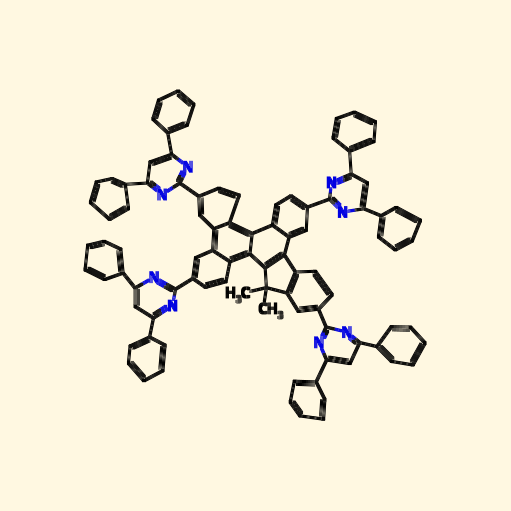 CC1(C)c2cc(-c3nc(-c4ccccc4)cc(-c4ccccc4)n3)ccc2-c2c1c1c3ccc(-c4nc(-c5ccccc5)cc(-c5ccccc5)n4)cc3c3cc(-c4nc(-c5ccccc5)cc(-c5ccccc5)n4)ccc3c1c1ccc(-c3nc(-c4ccccc4)cc(-c4ccccc4)n3)cc21